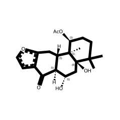 CC(=O)O[C@H]1CCC(C)(C)[C@]2(O)C[C@H](O)[C@H]3C(=O)c4ccoc4C[C@@H]3[C@@]12C